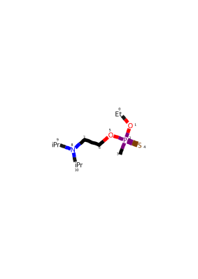 CCOP(C)(=S)OCCN(C(C)C)C(C)C